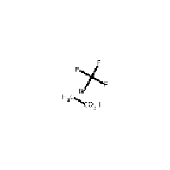 CC(=O)O.FC(F)(F)Br